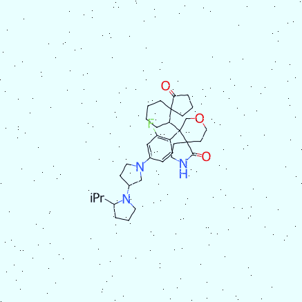 CC(C)C1CCCN1C1CCN(c2ccc(C3(C4CCCCC45CCCC5=O)COCCC34CCNC4=O)c(F)c2)C1